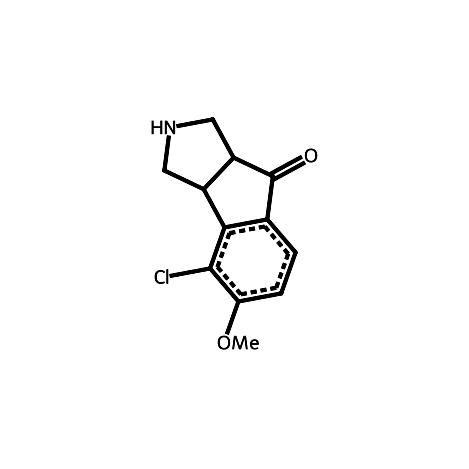 COc1ccc2c(c1Cl)C1CNCC1C2=O